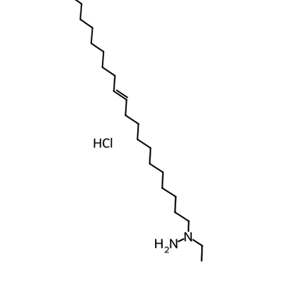 CCCCCCCCC=CCCCCCCCCCCN(N)CC.Cl